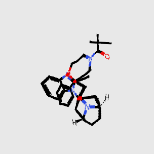 Cc1nc2ccccc2n1C1C[C@H]2CC[C@H](C1)N2CCC1(c2ccccc2)CN(C(=O)C(C)(C)C)CCO1